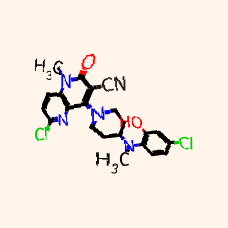 CN(c1ccc(Cl)cc1O)C1CCN(c2c(C#N)c(=O)n(C)c3ccc(Cl)nc23)CC1